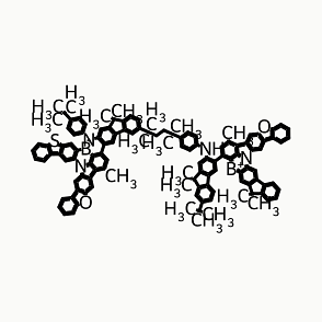 Cc1cc2c3c4c1c1cc5oc6ccccc6c5cc1n4-c1cc4c(cc1B3N(c1ccc(C(C)(C)C)cc1)c1cc3c(cc1-2)-c1cc(C(C)(C)CCC(C)(C)c2ccc(Nc5cc6c(cc5-c5cc(C)c7c8cc9oc%10ccccc%10c9cc8n8c9cc%10c(cc9[b+]c5c78)C(C)(C)c5ccccc5-%10)-c5ccc(C(C)(C)C)cc5C6(C)C)cc2)ccc1C3(C)C)sc1ccccc14